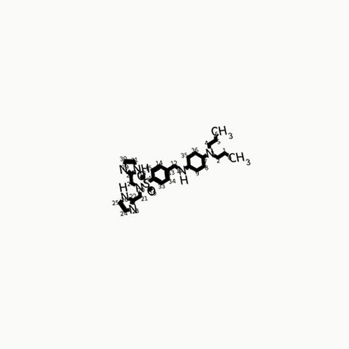 CCCN(CCC)C1CCC(NCc2ccc(S(=O)(=O)N(Cc3ncc[nH]3)Cc3ncc[nH]3)cc2)CC1